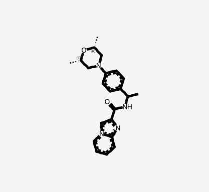 CC(NC(=O)c1cn2ccccc2n1)c1ccc(N2C[C@@H](C)O[C@@H](C)C2)cc1